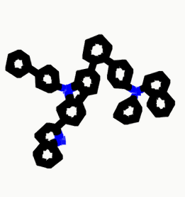 c1ccc(-c2ccc(-n3c4cc(-c5ccc6ccccc6n5)ccc4c4ccc(-c5ccccc5-c5ccc(N(c6ccccc6)c6cccc7ccccc67)cc5)cc43)cc2)cc1